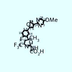 COc1cnc(-c2cc(-c3ccc(F)c([C@]4(C)C[C@@H](C(F)(F)F)N=C(NC(=O)O)O4)c3)on2)nc1